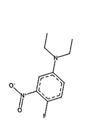 CCN(CC)c1ccc(F)c([N+](=O)[O-])c1